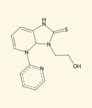 OCCN1C(=S)NC2=CC=CN(c3ccccn3)C21